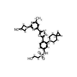 Cc1cc(-c2nnc(-c3ccc(NS(=O)(=O)CCO)cc3N3CCC4(CC3)CC4)o2)nc(N2CC(C#N)C2)n1